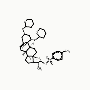 Cc1ccc(S(=O)(=O)OC[C@@H](C)[C@H]2CC[C@H]3[C@@H]4CC=C5C[C@@H](OC6CCCCO6)C[C@H](OC6CCCCO6)[C@]5(C)[C@H]4CC[C@]23C)cc1